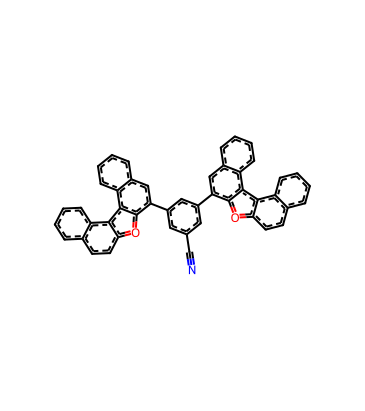 N#Cc1cc(-c2cc3ccccc3c3c2oc2ccc4ccccc4c23)cc(-c2cc3ccccc3c3c2oc2ccc4ccccc4c23)c1